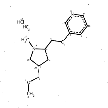 COC[C@H]1CC(COc2cccnc2)N(C)C1.Cl.Cl